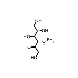 O=C(CO)[C@@H](O)[C@@H](O)[C@H](O)CO.P